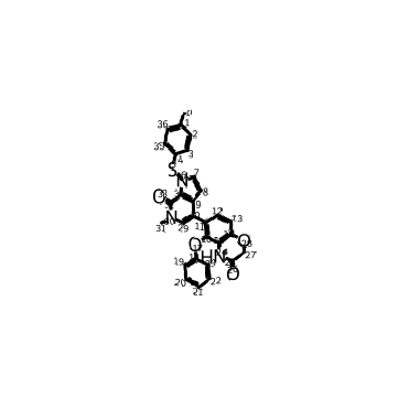 Cc1ccc(Sn2ccc3c(-c4ccc5c(c4Oc4ccccc4)NC(=O)CO5)cn(C)c(=O)c32)cc1